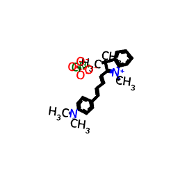 CN(C)c1ccc(/C=C/C=C/C2=[N+](C)c3ccccc3C2(C)C)cc1.[O-][Cl+3]([O-])([O-])[O-]